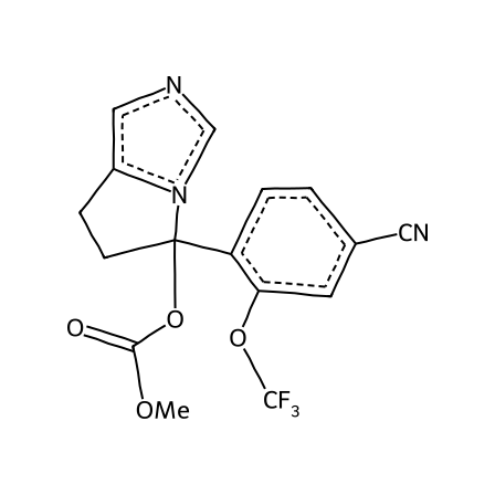 COC(=O)OC1(c2ccc(C#N)cc2OC(F)(F)F)CCc2cncn21